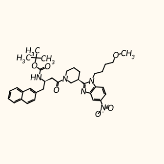 COCCCCn1c([C@@H]2CCCN(C(=O)C[C@@H](Cc3ccc4ccccc4c3)NC(=O)OC(C)(C)C)C2)nc2cc([N+](=O)[O-])ccc21